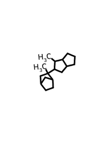 CC1C2CCCC2CC1C1(C)CC2CCC1C2